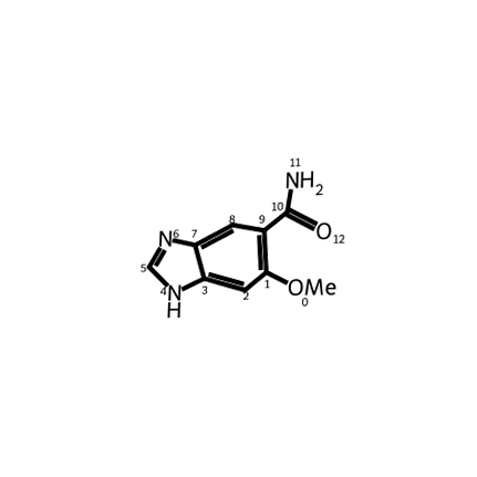 COc1cc2[nH]cnc2cc1C(N)=O